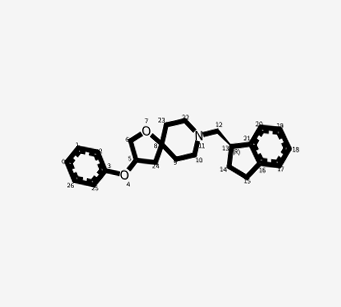 c1ccc(OC2COC3(CCN(C[C@@H]4CCc5ccccc54)CC3)C2)cc1